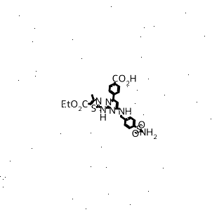 CCOC(=O)c1sc(Nc2nc(NCc3ccc(S(N)(=O)=O)cc3)cc(-c3ccc(C(=O)O)cc3)n2)nc1C